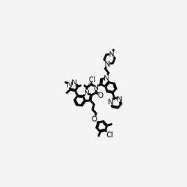 Cc1cc(OCCCc2c3n(c4c(-c5c(C)nn(C)c5C)cccc24)C(C)[C@@H](Cl)N(c2cn(CCN4CCN(C)CC4)c4ccc(-c5ncccn5)cc24)C3=O)cc(C)c1Cl